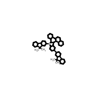 CC1(C)c2ccccc2-c2ccc(-c3ccc4c(c3)c3c5c6ccccc6ccc5c5ccccc5c3n4-c3ccc4c(c3)C(C)(C)c3ccccc3-4)cc21